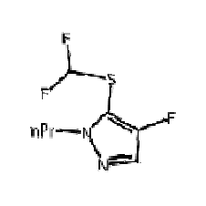 CCCn1n[c]c(F)c1SC(F)F